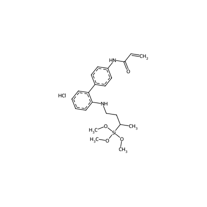 C=CC(=O)Nc1ccc(-c2ccccc2NCCC(C)[Si](OC)(OC)OC)cc1.Cl